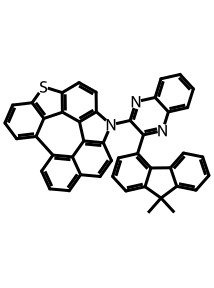 CC1(C)c2ccccc2-c2c(-c3nc4ccccc4nc3-n3c4ccc5cccc6c5c4c4c5c(ccc43)sc3cccc-6c35)cccc21